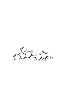 C=Cc1c(/C=C\C)ccc2cc(C3=CC=C4C=C(I)C=CC4C3)ccc12